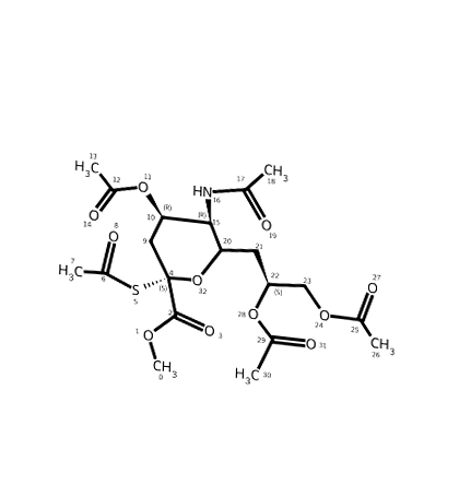 COC(=O)[C@@]1(SC(C)=O)C[C@@H](OC(C)=O)[C@@H](NC(C)=O)C(C[C@@H](COC(C)=O)OC(C)=O)O1